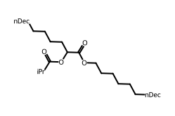 CCCCCCCCCCCCCCCCOC(=O)C(CCCCCCCCCCCCCC)OC(=O)C(C)C